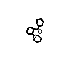 O=C(c1ccccc1)c1ccccc1N1CCCCC1